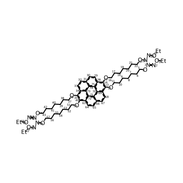 CCON=NOCCCCCCCOc1c(OCCCCCCCON=NOCC)c2ccc3ccc4c(OCCCCCCCON=NOCC)c(OCCCCCCCON=NOCC)c5ccc6ccc1c1c6c5c4c3c21